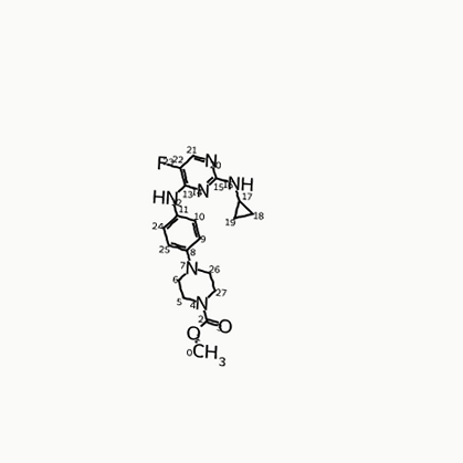 COC(=O)N1CCN(c2ccc(Nc3nc(NC4CC4)ncc3F)cc2)CC1